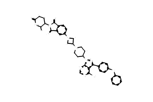 Nc1ncnc2c1c(-c1ccc(Oc3ccccc3)cc1)nn2C1CCN(C2CN(c3ccc4c(c3)C(=O)N(C3CCC(=O)NC3O)C4=O)C2)CC1